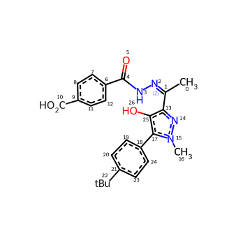 C/C(=N/NC(=O)c1ccc(C(=O)O)cc1)c1nn(C)c(-c2ccc(C(C)(C)C)cc2)c1O